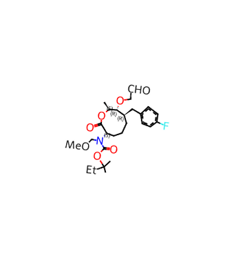 CCC(C)(C)OC(=O)N(COC)[C@H]1CCC[C@H](Cc2ccc(F)cc2)[C@@H](OCC=O)[C@H](C)OC1=O